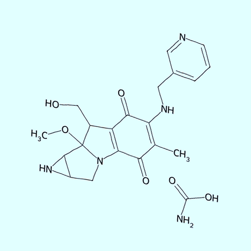 COC12C(CO)C3=C(C(=O)C(C)=C(NCc4cccnc4)C3=O)N1CC1NC12.NC(=O)O